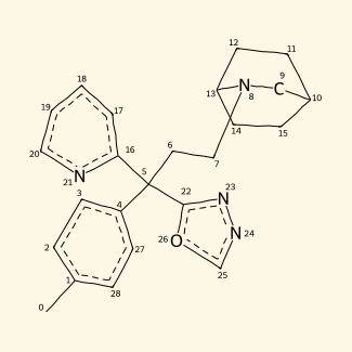 Cc1ccc(C(CCN2CC3CCC2CC3)(c2ccccn2)c2nnco2)cc1